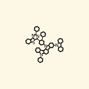 c1ccc(-c2nc(-c3ccc(-n4c5ccc(-n6c7ccccc7c7ccccc76)cc5c5ccc6c(c7ccccc7n6-c6ccccc6)c54)cc3-c3ccccc3)c3sc4ccccc4c3n2)cc1